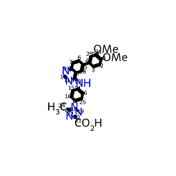 COc1ccc(-c2ccc3ncnc(Nc4ccc(-n5nc(C(=O)O)nc5C)cc4)c3c2)cc1OC